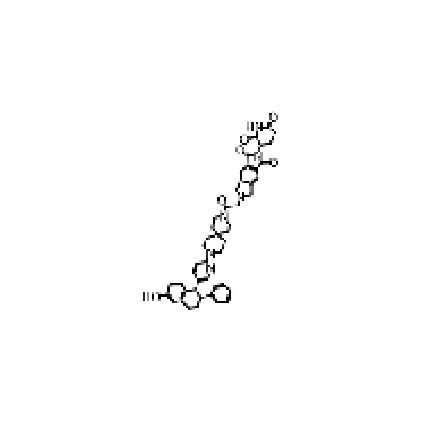 O=C1CC[C@@H](N2C(=O)c3cc4c(cc3C2=O)CN(CC(=O)N2CCC3(CC2)CCN(c2ccc([C@@H]5c6ccc(O)cc6CC[C@@H]5c5ccccc5)cn2)CC3)C4)C(=O)N1